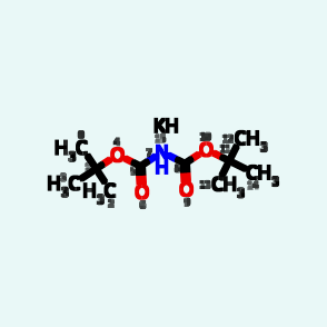 CC(C)(C)OC(=O)NC(=O)OC(C)(C)C.[KH]